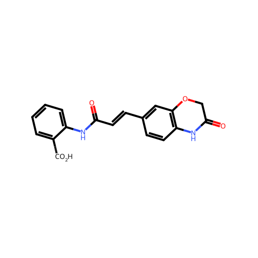 O=C(/C=C/c1ccc2c(c1)OCC(=O)N2)Nc1ccccc1C(=O)O